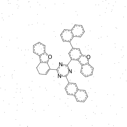 C1=C(c2nc(-c3ccc4ccccc4c3)nc(-c3cc(-c4cccc5ccccc45)cc4oc5ccccc5c34)n2)c2oc3ccccc3c2CC1